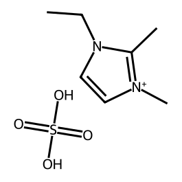 CCn1cc[n+](C)c1C.O=S(=O)(O)O